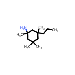 CCCC1(C)CC(C)(C)CC(C)(N)C1